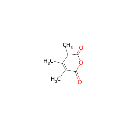 CC1=C(C)C(C)C(=O)OC1=O